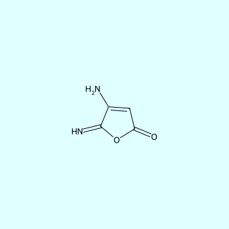 N=C1OC(=O)C=C1N